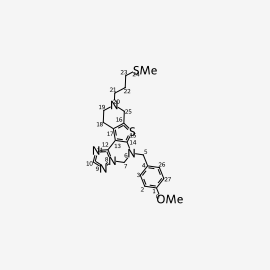 COc1ccc(CN2Cn3ncnc3-c3c2sc2c3CCN(CCCSC)C2)cc1